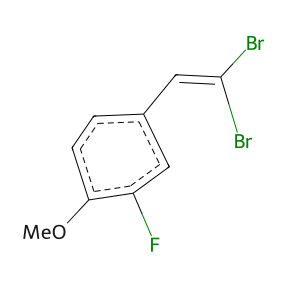 COc1ccc(C=C(Br)Br)cc1F